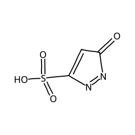 O=C1C=C(S(=O)(=O)O)N=N1